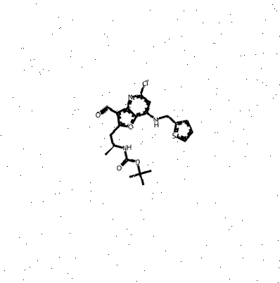 C[C@@H](Cc1oc2c(NCc3cccs3)cc(Cl)nc2c1C=O)NC(=O)OC(C)(C)C